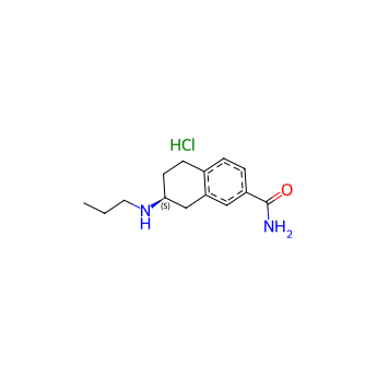 CCCN[C@H]1CCc2ccc(C(N)=O)cc2C1.Cl